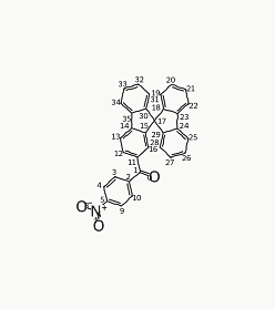 O=C(c1ccc([N+](=O)[O-])cc1)c1ccc2c(c1)C1(c3ccccc3-c3ccccc31)c1ccccc1-2